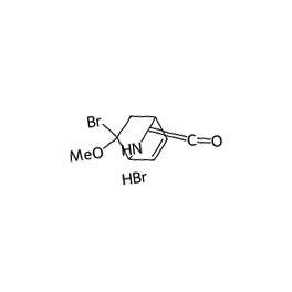 Br.COC1(Br)CC2C=CC1NC2=C=O